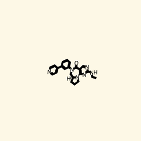 CCNc1ncc2c(n1)N1CCC[C@H]1CN(c1cccc(-c3ccncc3)c1)C2=O